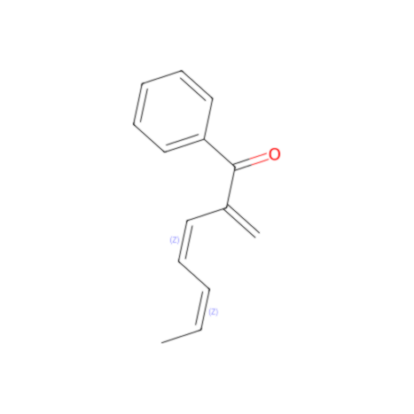 C=C(/C=C\C=C/C)C(=O)c1ccccc1